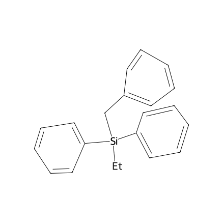 CC[Si](Cc1ccccc1)(c1ccccc1)c1ccccc1